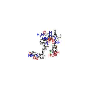 CCCC[C@H](NC(=O)c1cc2cc(C(F)(F)P(=O)(O)O)ccc2s1)C(=O)N1CC2C([C@H]2C)[C@H]1C(=O)N[C@@H](CCC(N)=O)C(=O)N[C@H](C(=O)N1CCC(CCC#Cc2cccc3c2CN(C2CCC(=O)NC2=O)C3=O)CC1)c1ccccc1